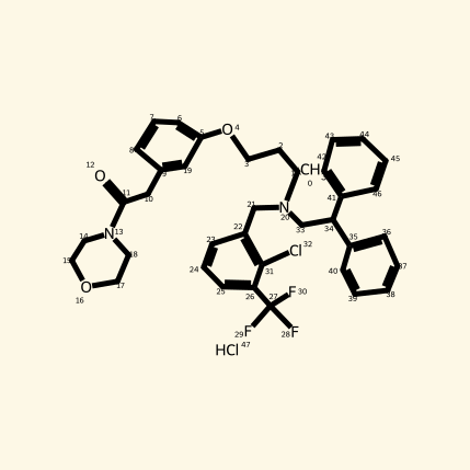 C[C@H](CCOc1cccc(CC(=O)N2CCOCC2)c1)N(Cc1cccc(C(F)(F)F)c1Cl)CC(c1ccccc1)c1ccccc1.Cl